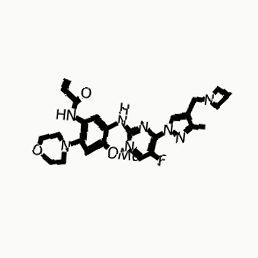 C=CC(=O)Nc1cc(Nc2ncc(F)c(-n3cc(CN4CCC4)c(C)n3)n2)c(OC)cc1N1CCOCC1